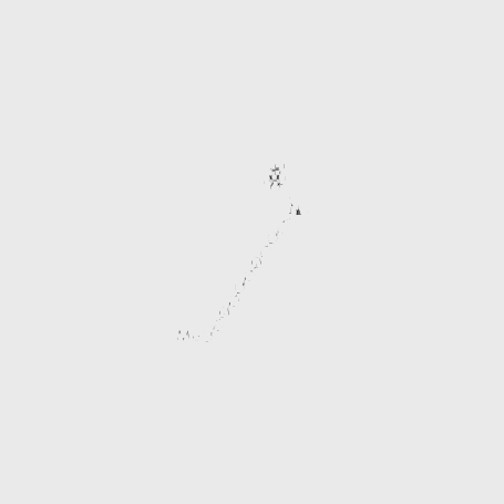 COCCOCCOCCOCCOCCOCCOCCOCCOCCOCCCN(CCCCCC(=O)ON1C(=O)CCC1=O)C(C)=O